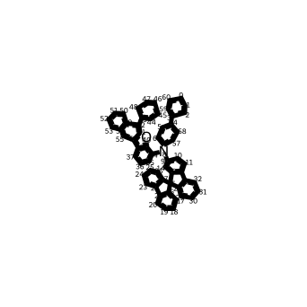 c1ccc(-c2ccc(N(c3ccc4c(c3)C3(c5ccccc5-c5ccccc53)c3ccccc3-4)c3cccc4c3oc3c(-c5ccccc5)c5ccccc5cc34)cc2)cc1